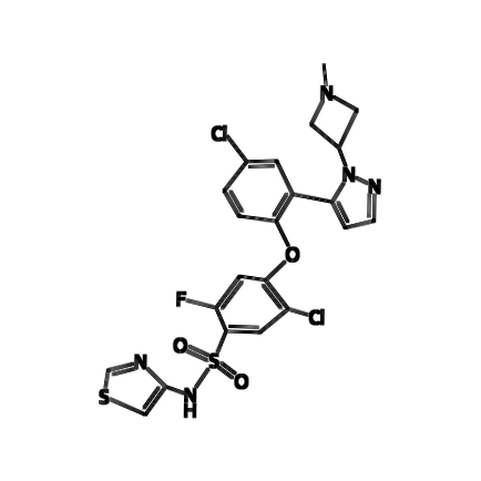 CN1CC(n2nccc2-c2cc(Cl)ccc2Oc2cc(F)c(S(=O)(=O)Nc3cscn3)cc2Cl)C1